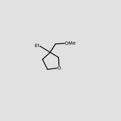 CCC1(COC)CCOC1